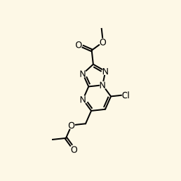 COC(=O)c1nc2nc(COC(C)=O)cc(Cl)n2n1